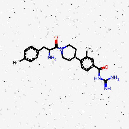 N#Cc1ccc(CC(N)C(=O)N2CCC(c3ccc(C(=O)NC(=N)N)cc3C(F)(F)F)CC2)cc1